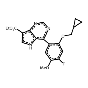 CCOC(=O)c1c[nH]c2c(-c3cc(OC)c(F)cc3OCC3CC3)ncnc12